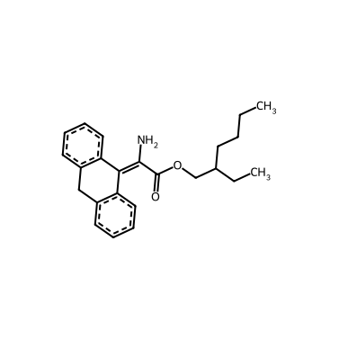 CCCCC(CC)COC(=O)C(N)=C1c2ccccc2Cc2ccccc21